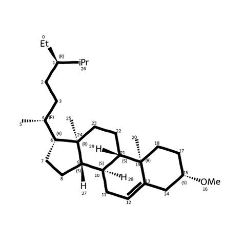 CC[C@H](CC[C@@H](C)[C@H]1CC[C@H]2[C@@H]3CC=C4C[C@@H](OC)CC[C@]4(C)[C@H]3CC[C@]12C)C(C)C